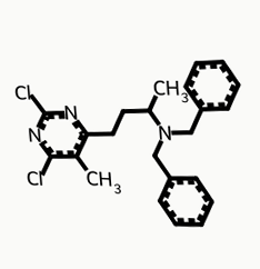 Cc1c(Cl)nc(Cl)nc1CCC(C)N(Cc1ccccc1)Cc1ccccc1